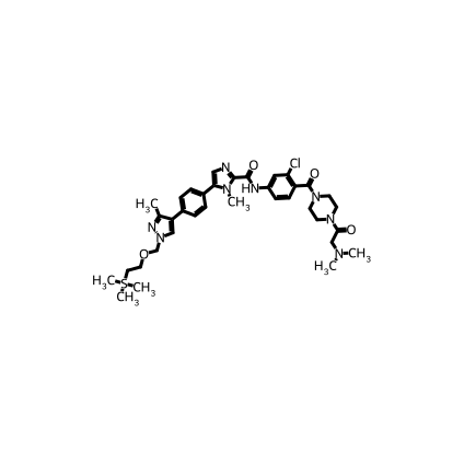 Cc1nn(COCCS(C)(C)C)cc1-c1ccc(-c2cnc(C(=O)Nc3ccc(C(=O)N4CCN(C(=O)CN(C)C)CC4)c(Cl)c3)n2C)cc1